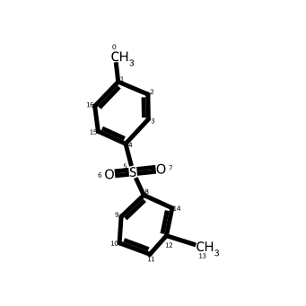 Cc1ccc(S(=O)(=O)c2cccc(C)c2)cc1